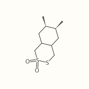 C[C@@H]1CC2CS(=O)(=O)SCC2C[C@@H]1C